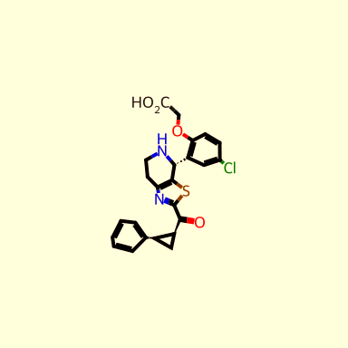 O=C(O)COc1ccc(Cl)cc1[C@H]1NCCc2nc(C(=O)[C@H]3C[C@@H]3c3ccccc3)sc21